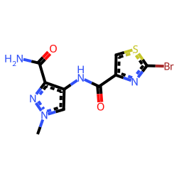 Cn1cc(NC(=O)c2csc(Br)n2)c(C(N)=O)n1